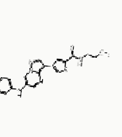 CCCNC(=O)c1cc(-c2cnn3cc(Nc4ccccc4)cnc23)cs1